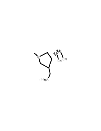 CCCCCCCCC1CCN(C)C1.N#CN.N#CN